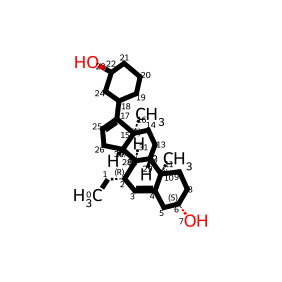 CC[C@H]1C=C2C[C@@H](O)CC[C@]2(C)[C@H]2CC[C@]3(C)C(C4CCCC(O)C4)=CC[C@H]3[C@H]12